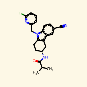 CC(C)C(=O)N[C@@H]1CCc2c(c3cc(C#N)ccc3n2Cc2cccc(F)n2)C1